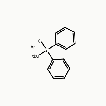 CC(C)(C)[Si](Cl)(c1ccccc1)c1ccccc1.[Ar]